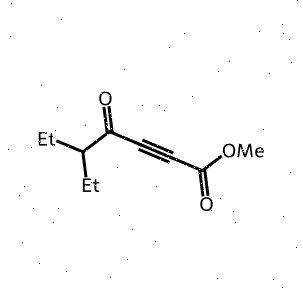 CCC(CC)C(=O)C#CC(=O)OC